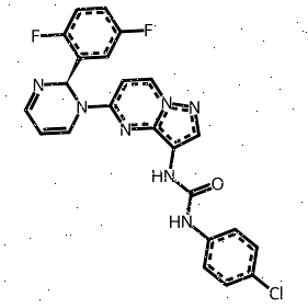 O=C(Nc1ccc(Cl)cc1)Nc1cnn2ccc(N3C=CC=N[C@H]3c3cc(F)ccc3F)nc12